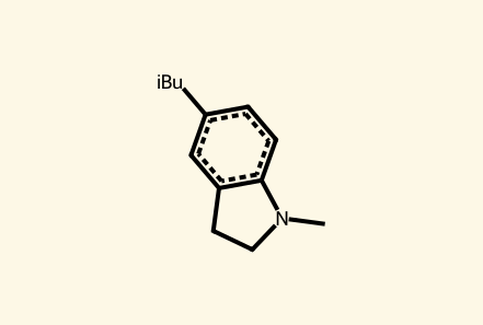 CCC(C)c1ccc2c(c1)CCN2C